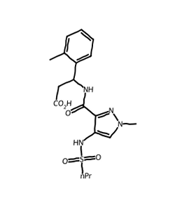 CCCS(=O)(=O)Nc1cn(C)nc1C(=O)NC(CC(=O)O)c1ccccc1C